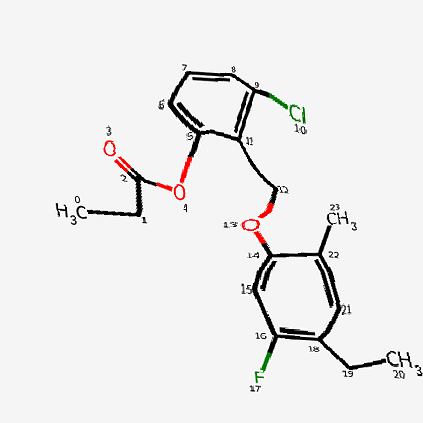 CCC(=O)Oc1cccc(Cl)c1COc1cc(F)c(CC)cc1C